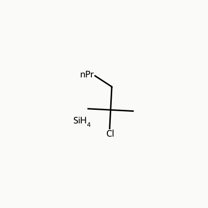 CCCCC(C)(C)Cl.[SiH4]